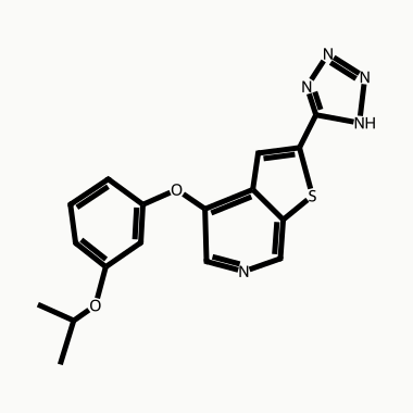 CC(C)Oc1cccc(Oc2cncc3sc(-c4nnn[nH]4)cc23)c1